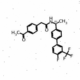 CC(=O)c1ccc(CC(=O)N[C@@H](C)c2ccc(-c3ccc(F)c(C(F)(F)F)c3)cc2)cc1